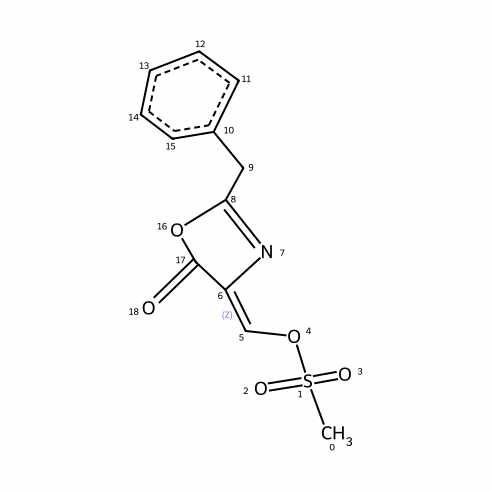 CS(=O)(=O)O/C=C1\N=C(Cc2ccccc2)OC1=O